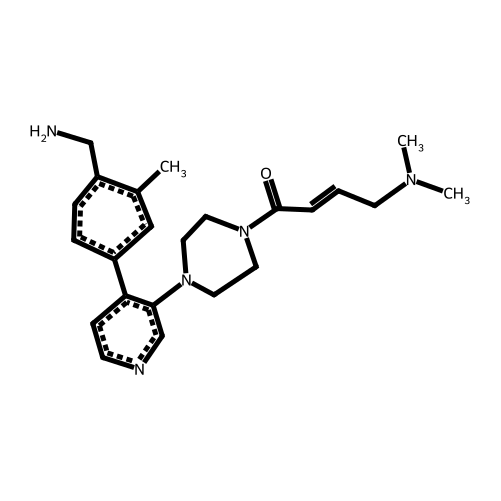 Cc1cc(-c2ccncc2N2CCN(C(=O)/C=C/CN(C)C)CC2)ccc1CN